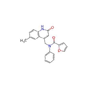 Cc1ccc2[nH]c(=O)cc(CN(C(=O)c3ccco3)c3ccccc3)c2c1